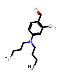 CCCCN(CCCC)c1ccc(C=O)c(C)c1